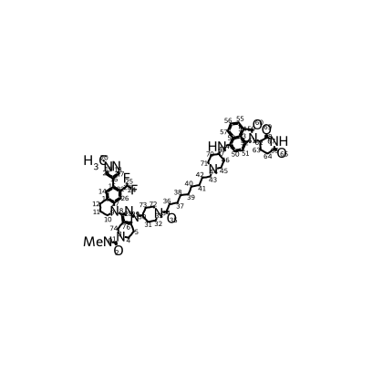 CNC(=O)N1CCc2c(c(N3CCCc4cc(-c5cnn(C)c5)c(C(F)F)cc43)nn2C2CCN(C(=O)CCCCCCCCN3CCC(Nc4ccc5c6c(cccc46)C(=O)N5C4CCC(=O)NC4=O)CC3)CC2)C1